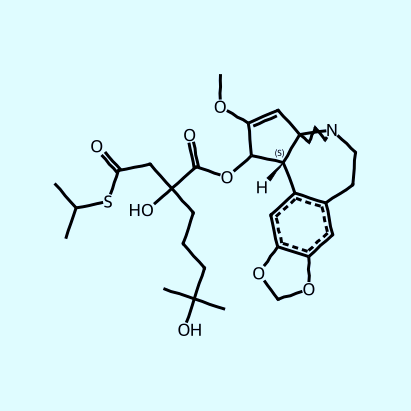 COC1=CC23CCCN2CCc2cc4c(cc2[C@@H]3C1OC(=O)C(O)(CCCC(C)(C)O)CC(=O)SC(C)C)OCO4